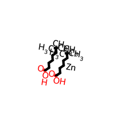 CC(C)(C)CCCCCC(=O)O.CC(C)(C)CCCCCC(=O)O.[Zn]